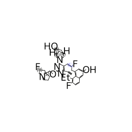 C#Cc1nc(OC[C@@]23CCCN2C[C@H](F)C3)nc(N2C[C@@H]3C[C@H](C2)[C@H](O)C3)c1/C=C(/F)Cc1cc(O)cc2ccc(F)c(CC)c12